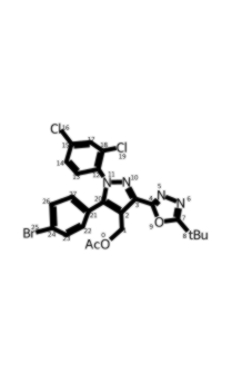 CC(=O)OCc1c(-c2nnc(C(C)(C)C)o2)nn(-c2ccc(Cl)cc2Cl)c1-c1ccc(Br)cc1